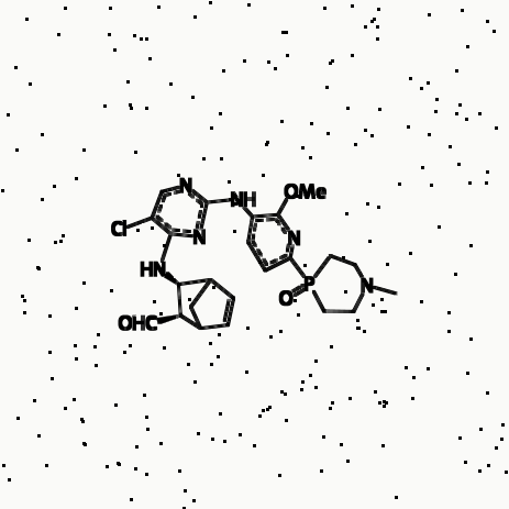 COc1nc(P2(=O)CCN(C)CC2)ccc1Nc1ncc(Cl)c(N[C@H]2C3C=CC(C3)[C@H]2C=O)n1